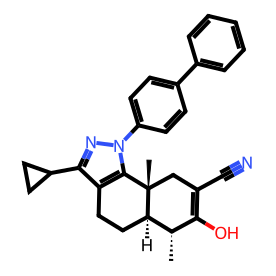 C[C@H]1C(O)=C(C#N)C[C@@]2(C)c3c(c(C4CC4)nn3-c3ccc(-c4ccccc4)cc3)CC[C@H]12